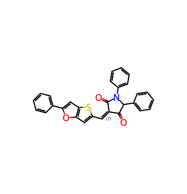 O=C1/C(=C/c2cc3oc(-c4ccccc4)cc3s2)C(=O)N(c2ccccc2)C1c1ccccc1